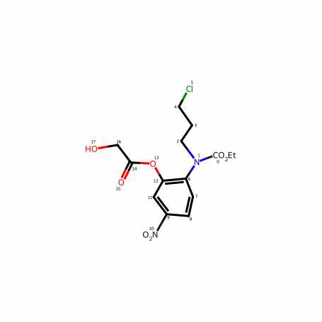 CCOC(=O)N(CCCCl)c1ccc([N+](=O)[O-])cc1OC(=O)CO